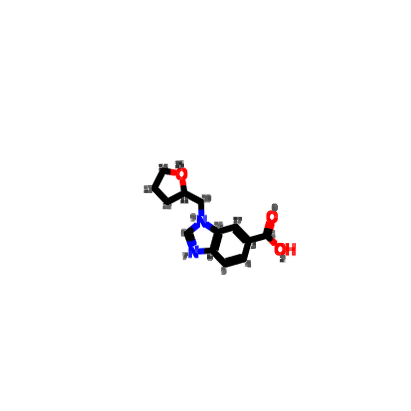 O=C(O)c1ccc2ncn(CC3CCCO3)c2c1